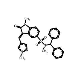 CN1C(=O)/C(=C/c2cnn(C)c2)c2cc(S(=O)(=O)N(C)C(c3ccccc3)c3ccccc3)ccc21